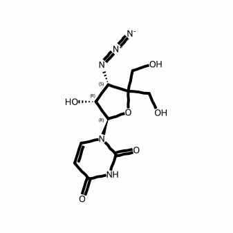 [N-]=[N+]=N[C@H]1[C@@H](O)[C@H](n2ccc(=O)[nH]c2=O)OC1(CO)CO